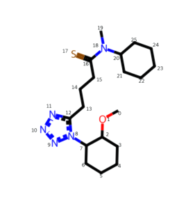 COC1CCCCC1n1nnnc1CCCC(=S)N(C)C1CCCCC1